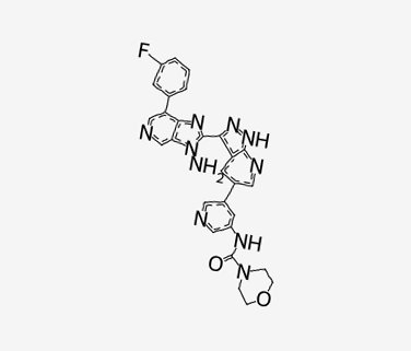 Nn1c(-c2n[nH]c3ncc(-c4cncc(NC(=O)N5CCOCC5)c4)cc23)nc2c(-c3cccc(F)c3)cncc21